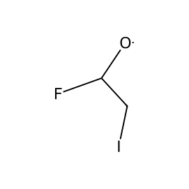 [O]C(F)CI